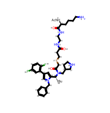 CC(=O)N[C@@H](CCCCN)C(=O)NCCNC(=O)CCSCC(=O)N(CC1CCNC1)[C@@H](c1cc(-c2cc(F)ccc2F)cn1Cc1ccccc1)C(C)(C)C